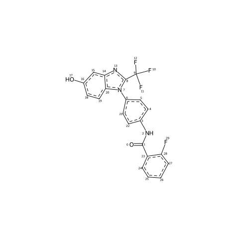 O=C(Nc1ccc(-n2c(C(F)(F)F)nc3cc(O)ccc32)cc1)c1ccccc1F